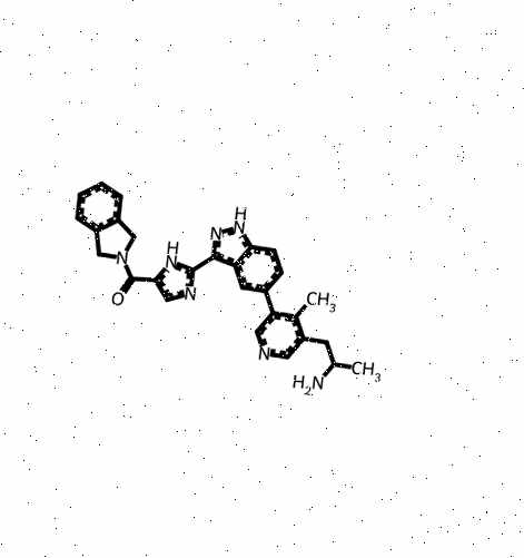 Cc1c(CC(C)N)cncc1-c1ccc2[nH]nc(-c3ncc(C(=O)N4Cc5ccccc5C4)[nH]3)c2c1